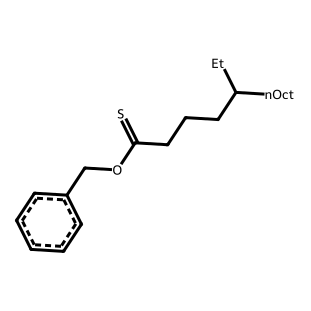 CCCCCCCCC(CC)CCCC(=S)OCc1ccccc1